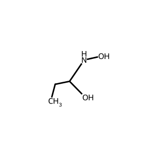 CCC(O)NO